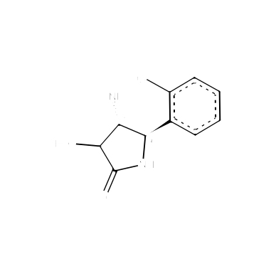 CC1C(=O)N[C@H](c2ccccc2Cl)[C@H]1N